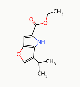 CCOC(=O)c1cc2occ(C(C)C)c2[nH]1